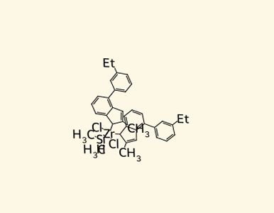 CCc1cccc(-c2cccc3c2C=C(C)[CH]3[Zr]([Cl])([Cl])([CH]2C(C)=Cc3c(-c4cccc(CC)c4)cccc32)[SiH](C)C)c1